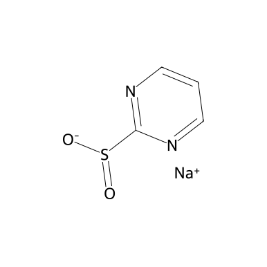 O=S([O-])c1ncccn1.[Na+]